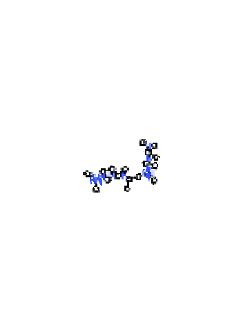 c1ccc(-c2cc(-c3ccc(-c4nc(-c5ccccc5)nc(-n5c6ccccc6c6c(-n7c8ccccc8c8c9c%10ccccc%10n(-c%10ccccc%10)c9ccc87)cccc65)n4)cc3)cc(-n3c4ccccc4c4c5c6ccccc6n(-c6cccc7c6c6ccccc6n7-c6nc(-c7ccccc7)nc(-c7ccccc7)n6)c5ccc43)c2)cc1